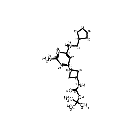 CC(C)(C)OC(=O)NC1CN(c2cc(NCC3CCCC3)nc(N)n2)C1